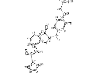 Cc1cc(C(C)N2Cc3c(ccnc3NC(=O)c3ncco3)C2=O)cnc1OCC(F)F